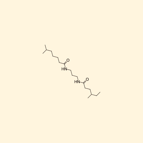 CCC(C)CCC(=O)NCCCNC(=O)CCCCC(C)C